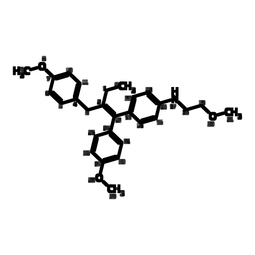 CCC(Cc1ccc(OC)cc1)=C(c1ccc(NCCOC)cc1)c1ccc(OC)cc1